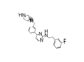 C[C@H]1C2CN(Cc3cccc(-c4ccnc(NCCc5cccc(F)c5)n4)c3)C1CN2